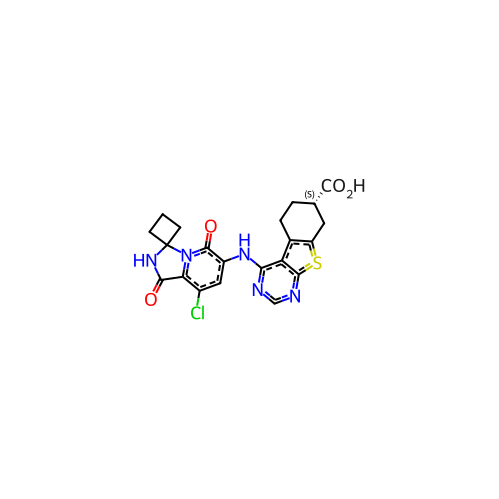 O=C1NC2(CCC2)n2c1c(Cl)cc(Nc1ncnc3sc4c(c13)CC[C@H](C(=O)O)C4)c2=O